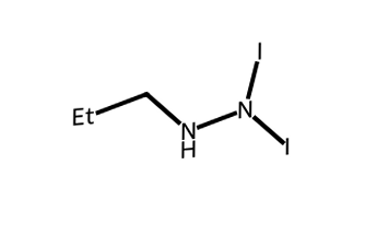 CCCNN(I)I